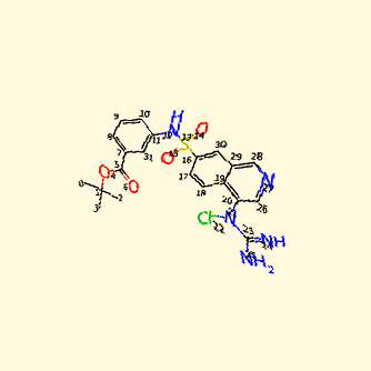 CC(C)(C)OC(=O)c1cccc(NS(=O)(=O)c2ccc3c(N(Cl)C(=N)N)cncc3c2)c1